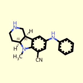 CN1c2c(C#N)cc(Nc3ccccc3)cc2[C@@H]2CNCC[C@@H]21